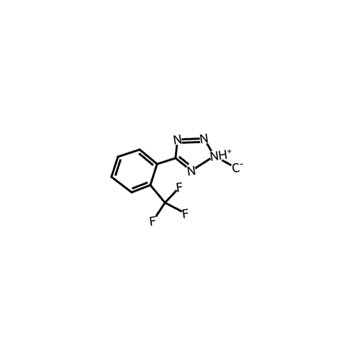 [CH2-][NH+]1N=NC(c2ccccc2C(F)(F)F)=N1